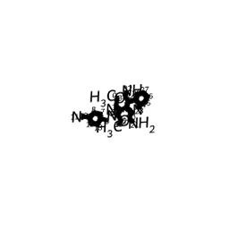 CCc1nn(Cc2ccc(C#N)cc2)c(CC)c1-c1c(C(N)=O)nc2ccccc2c1C(N)=O